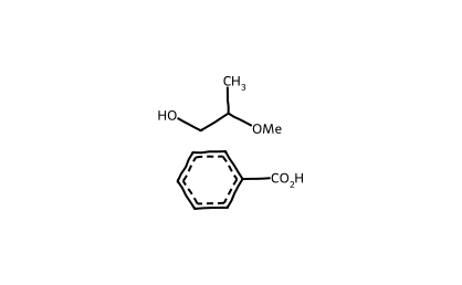 COC(C)CO.O=C(O)c1ccccc1